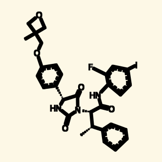 C[C@@H](c1ccccc1)[C@@H](C(=O)Nc1ccc(I)cc1F)N1C(=O)N[C@H](c2ccc(OCC3(C)COC3)cc2)C1=O